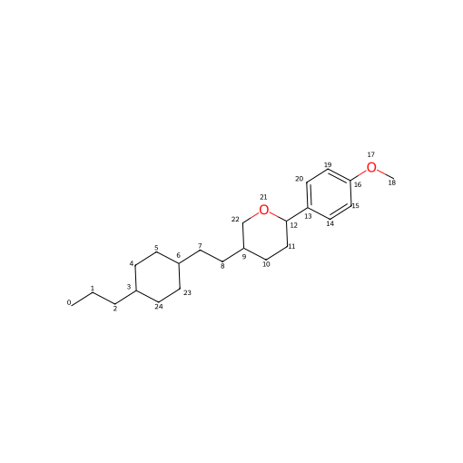 CCCC1CCC(CCC2CCC(c3ccc(OC)cc3)OC2)CC1